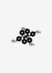 CC(C)C(C(C)C)(C(c1ccccc1)P(c1ccc(C(C)(C)C)cc1)c1ccc(C(C)(C)C)cc1)C(c1ccccc1)P(c1ccc(C(C)(C)C)cc1)c1ccc(C(C)(C)C)cc1